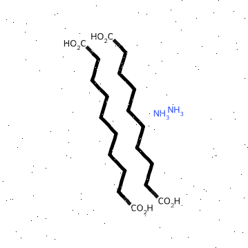 N.N.O=C(O)CCCCCCCCC(=O)O.O=C(O)CCCCCCCCC(=O)O